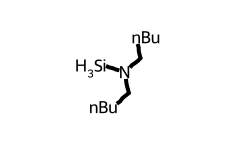 CCCCCN([SiH3])CCCCC